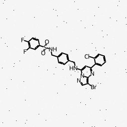 O=S(=O)(NCc1ccc(CNc2cc(-c3ccccc3Cl)nc3c(Br)cnn23)cc1)c1ccc(F)c(F)c1